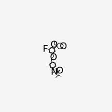 COC1(c2cc(F)cc(OCc3ccc(N(C)C(=O)C(C)C)cc3)c2)CCOCC1